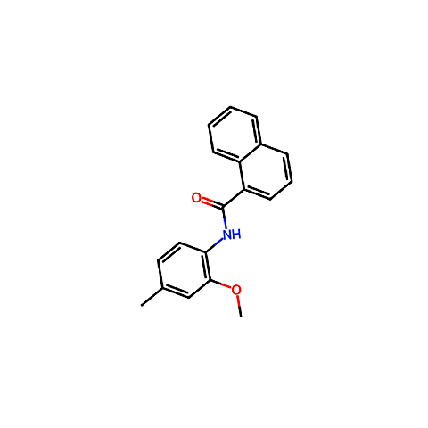 COc1cc(C)ccc1NC(=O)c1cccc2ccccc12